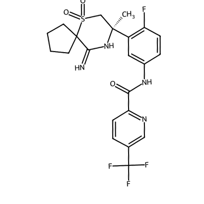 C[C@@]1(c2cc(NC(=O)c3ccc(C(F)(F)F)cn3)ccc2F)CS(=O)(=O)C2(CCCC2)C(=N)N1